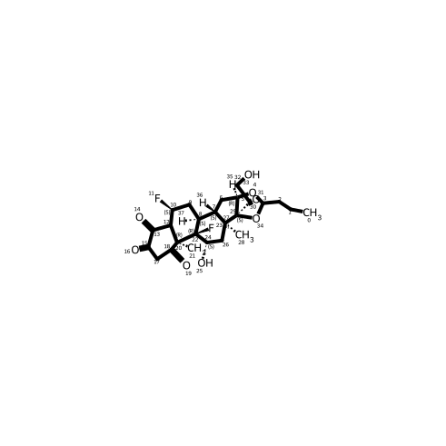 CCCC1O[C@@H]2C[C@H]3[C@@H]4C[C@H](F)C5C(=O)C(=O)CC(=O)[C@]5(C)[C@@]4(F)[C@@H](O)C[C@]3(C)[C@]2(C(=O)CO)O1